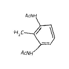 [CH2]c1c(NC(C)=O)cccc1NC(C)=O